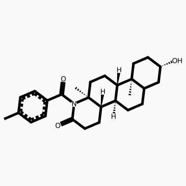 Cc1ccc(C(=O)N2C(=O)CC[C@H]3[C@@H]4CCC5C[C@@H](O)CC[C@]5(C)[C@H]4CC[C@@]32C)cc1